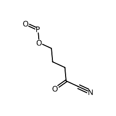 N#CC(=O)CCCOP=O